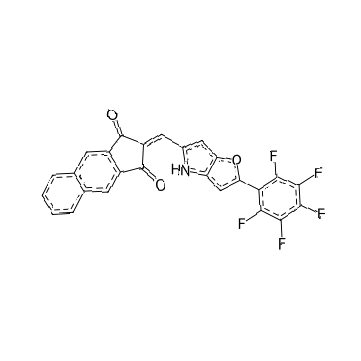 O=C1C(=Cc2cc3oc(-c4c(F)c(F)c(F)c(F)c4F)cc3[nH]2)C(=O)c2cc3ccccc3cc21